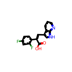 O=C(O)C(=Cc1c[nH]c2ncccc12)c1ccc(F)cc1F